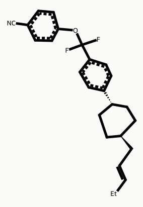 CCC=CC[C@H]1CC[C@H](c2ccc(C(F)(F)Oc3ccc(C#N)cc3)cc2)CC1